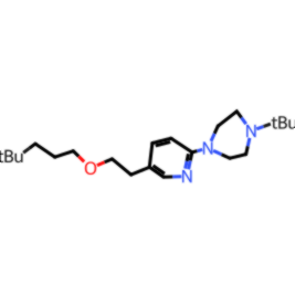 CC(C)(C)CCCOCCc1ccc(N2CCN(C(C)(C)C)CC2)nc1